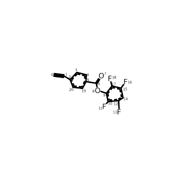 C#Cc1ccc(C(=O)Oc2c(F)c(F)cc(F)c2F)cc1